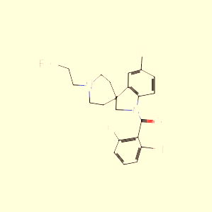 O=C(c1c(C(F)(F)F)cccc1C(F)(F)F)N1CC2(CCN(CCC(F)(F)F)CC2)c2cc(C(F)(F)F)ccc21